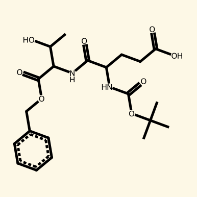 CC(O)C(NC(=O)C(CCC(=O)O)NC(=O)OC(C)(C)C)C(=O)OCc1ccccc1